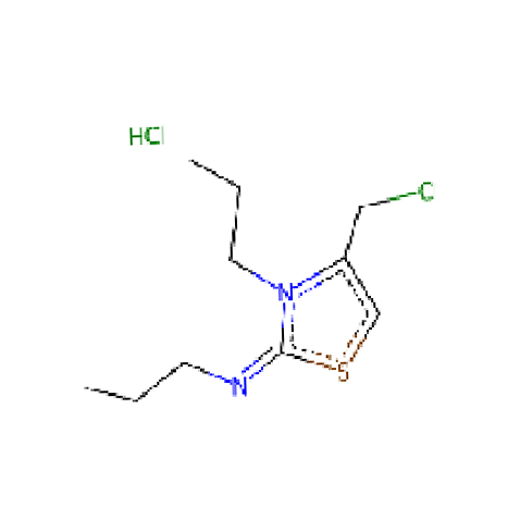 CCCN=c1scc(CCl)n1CCC.Cl